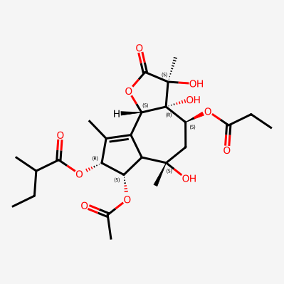 CCC(=O)O[C@H]1C[C@](C)(O)C2C(=C(C)[C@@H](OC(=O)C(C)CC)[C@H]2OC(C)=O)[C@@H]2OC(=O)[C@@](C)(O)[C@@]12O